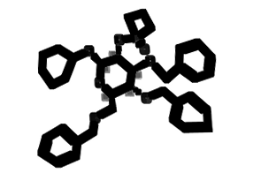 O=P1(O[C@H]2[C@H](OC3CCCCC3)O[C@H](COCc3ccccc3)[C@@H](OCc3ccccc3)[C@@H]2OCc2ccccc2)CCC1